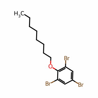 CCCCCCCCOc1c(Br)cc(Br)cc1Br